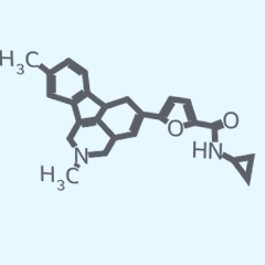 Cc1ccc2c(c1)C1=C3C(C=C(c4ccc(C(=O)NC5CC5)o4)CC32)CN(C)C1